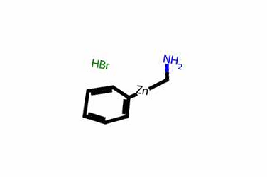 Br.N[CH2][Zn][c]1ccccc1